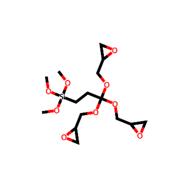 CO[Si](CCC(OCC1CO1)(OCC1CO1)OCC1CO1)(OC)OC